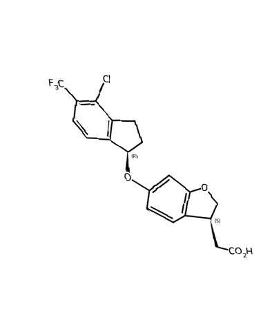 O=C(O)C[C@@H]1COc2cc(O[C@@H]3CCc4c3ccc(C(F)(F)F)c4Cl)ccc21